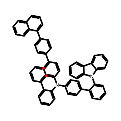 c1ccc(-c2ccccc2N(c2ccc(-c3ccc(-c4cccc5ccccc45)cc3)cc2)c2ccc(-c3ccccc3-n3c4ccccc4c4ccccc43)cc2)cc1